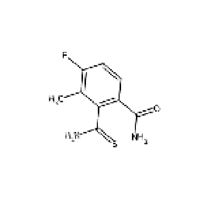 Cc1c(F)ccc(C(N)=O)c1C(N)=S